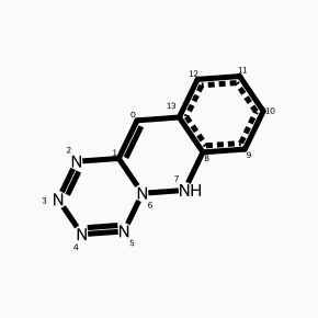 C1=C2N=NN=NN2Nc2ccccc21